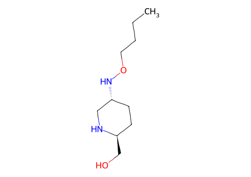 CCCCON[C@@H]1CC[C@@H](CO)NC1